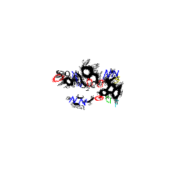 CN1CCN(CCOc2ccc3c(c2Cl)c2cc(F)ccc2c2sc4ncnc(O[C@H](Cc5ccccc5OCc5ccnc(-c6cccc(OS(=O)(=O)O)c6)n5)C(=O)O)c4c32)CC1